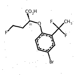 CC(F)(F)c1cc(Br)ccc1O[C@@H](CCF)C(=O)O